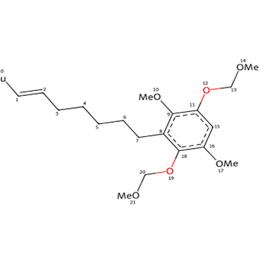 CCCCC=CCCCCCc1c(OC)c(OCOC)cc(OC)c1OCOC